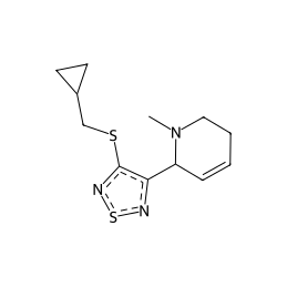 CN1CCC=CC1c1nsnc1SCC1CC1